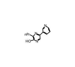 CCCc1nc(-c2cccnc2)cnc1O